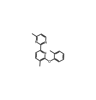 Cc1ccnc(-c2ccc(C)c(Oc3ccccc3C)n2)n1